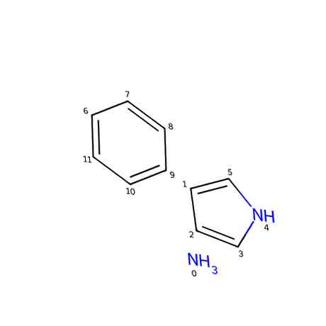 N.c1cc[nH]c1.c1ccccc1